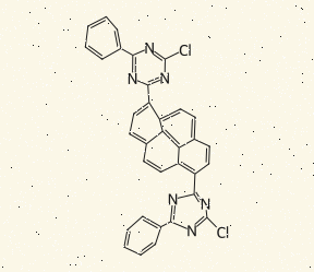 Clc1nc(-c2ccccc2)nc(-c2ccc3ccc4c(-c5nc(Cl)nc(-c6ccccc6)n5)ccc5ccc2c3c54)n1